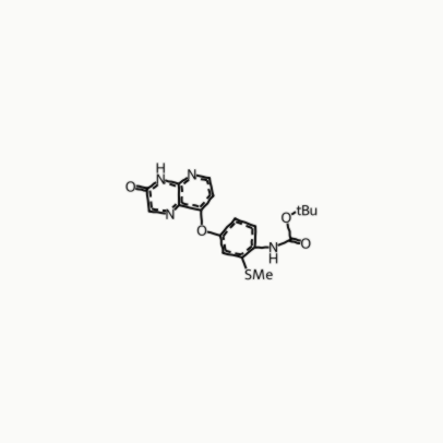 CSc1cc(Oc2ccnc3[nH]c(=O)cnc23)ccc1NC(=O)OC(C)(C)C